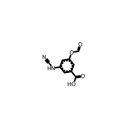 N#CNc1cc(OC=O)cc(C(=O)O)c1